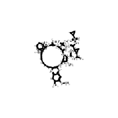 COC1=Cc2nc3c(nc2CC1C)CCCCC[C@@H]1[C@@H]2CC[C@@H](C2)[C@H]1OC(=O)N[C@@H](C(C)(C)C)C(=O)N1C[C@H](O3)[C@@H](C)[C@H]1C(=O)N[C@]1(C(=O)NS(=O)(=O)C2CC2)C[C@H]1C(F)F